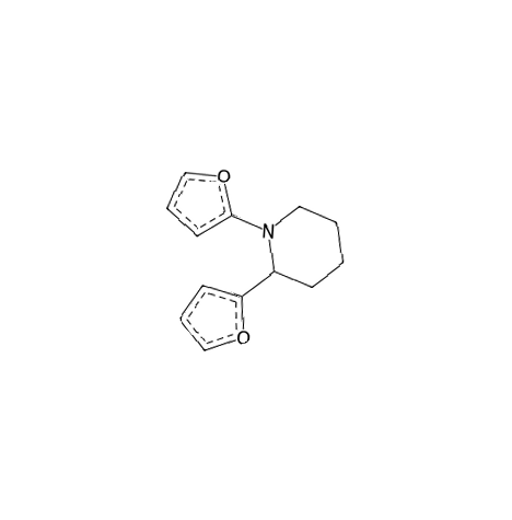 c1coc(C2CCCCN2c2ccco2)c1